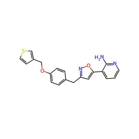 Nc1ncccc1-c1cc(Cc2ccc(OCc3ccsc3)cc2)no1